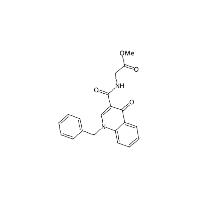 COC(=O)CNC(=O)c1cn(Cc2ccccc2)c2ccccc2c1=O